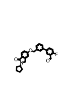 O=Cc1cc(-c2cccc(COc3ccc4c(c3)CN(C3CCCC3)C4=O)c2)ccc1F